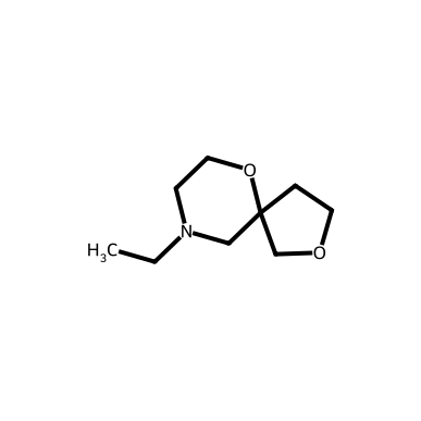 CCN1CCOC2(CCOC2)C1